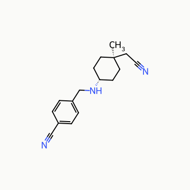 C[C@]1(CC#N)CC[C@H](NCc2ccc(C#N)cc2)CC1